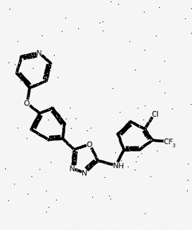 FC(F)(F)c1cc(Nc2nnc(-c3ccc(Oc4ccncc4)cc3)o2)ccc1Cl